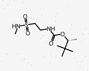 CNS(=O)(=O)CCNC(=O)O[C@H](C)C(C)(C)C